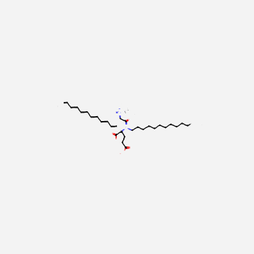 CCCCCCCCCCCCN(C(=O)C[N+](C)(C)C)[C@@](CCCCCCCCCCCC)(CCC(=O)O)C(=O)[O-]